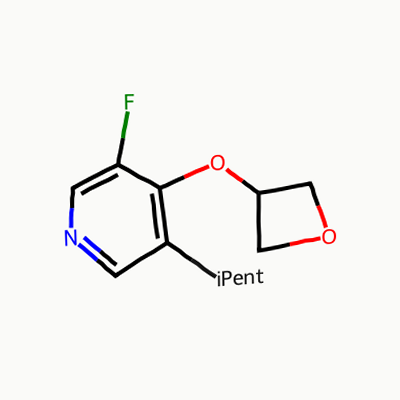 CCCC(C)c1cncc(F)c1OC1COC1